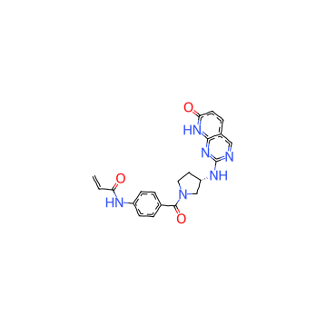 C=CC(=O)Nc1ccc(C(=O)N2CC[C@H](Nc3ncc4ccc(=O)[nH]c4n3)C2)cc1